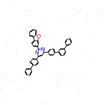 c1ccc(-c2ccc(-c3cc(-c4ccc(-c5cccc(-c6ccccc6)c5)cc4)nc(-c4ccc5c(c4)oc4ccccc45)n3)cc2)cc1